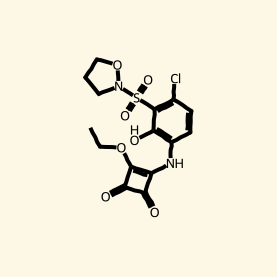 CCOc1c(Nc2ccc(Cl)c(S(=O)(=O)N3CCCO3)c2O)c(=O)c1=O